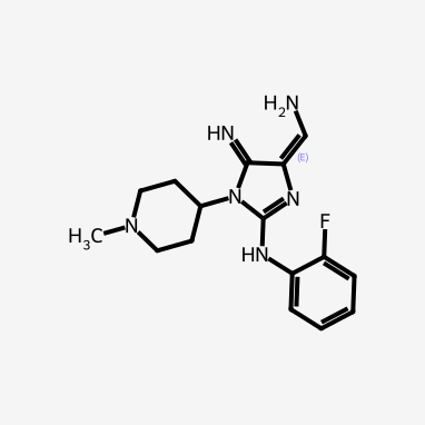 CN1CCC(N2C(=N)/C(=C\N)N=C2Nc2ccccc2F)CC1